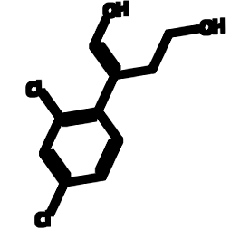 OC=C(CCO)c1ccc(Cl)cc1Cl